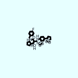 O=C1C(C2=NS(=O)(=O)c3cc(C4=CCCS4(=O)=O)ccc3N2)=C(O)[C@@H]2CCC[C@@H]2N1Cc1ccc(F)cc1